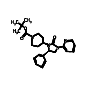 CC(C)(C)OC(=O)N1CCC(N2C(=O)N(c3ccccn3)C[C@H]2c2ccccc2)CC1